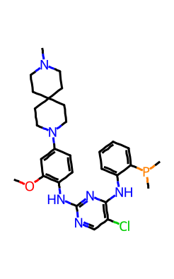 COc1cc(N2CCC3(CCN(C)CC3)CC2)ccc1Nc1ncc(Cl)c(Nc2ccccc2P(C)C)n1